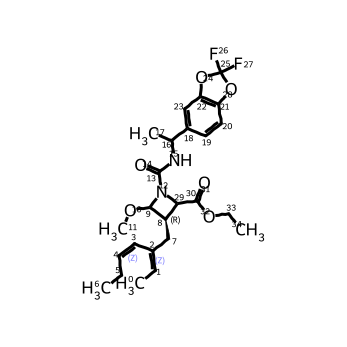 C/C=C(\C=C/CC)C[C@H]1C(OC)N(C(=O)NC(C)c2ccc3c(c2)OC(F)(F)O3)C1C(=O)OCC